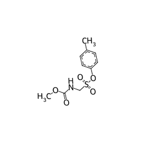 COC(=O)NCS(=O)(=O)Oc1ccc(C)cc1